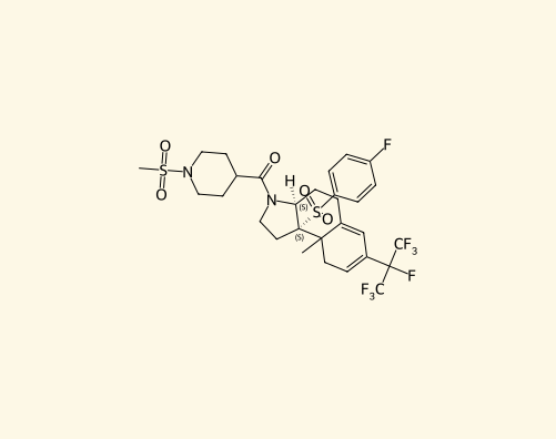 CC12CC=C(C(F)(C(F)(F)F)C(F)(F)F)C=C1CC[C@@H]1N(C(=O)C3CCN(S(C)(=O)=O)CC3)CC[C@@]12S(=O)(=O)c1ccc(F)cc1